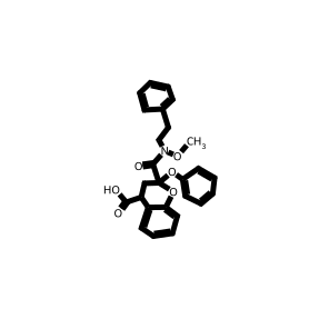 CON(CCc1ccccc1)C(=O)C1(Oc2ccccc2)CC(C(=O)O)c2ccccc2O1